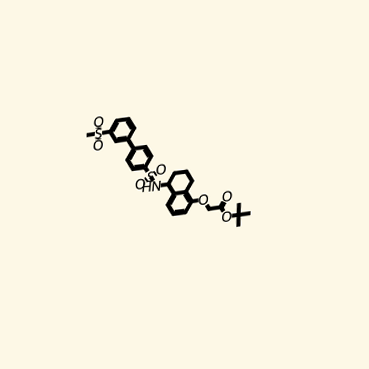 CC(C)(C)OC(=O)COc1cccc2c1CCCC2NS(=O)(=O)c1ccc(-c2cccc(S(C)(=O)=O)c2)cc1